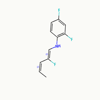 C/C=C\C(F)=C\Nc1ccc(F)cc1F